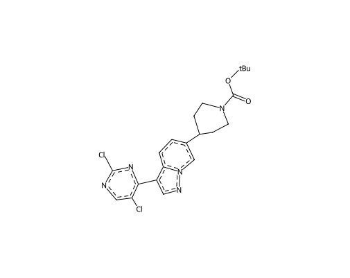 CC(C)(C)OC(=O)N1CCC(c2ccc3c(-c4nc(Cl)ncc4Cl)cnn3c2)CC1